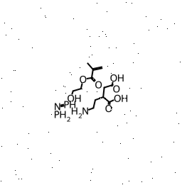 C=C(C)C(=O)OCCO.NCCC(CC(=O)O)C(=O)O.P=NP